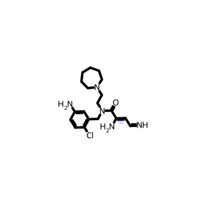 N=C/C=C(\N)C(=O)N(CCN1CCCCCC1)Cc1cc(N)ccc1Cl